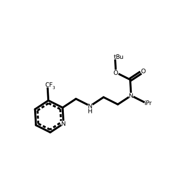 CC(C)N(CCNCc1ncccc1C(F)(F)F)C(=O)OC(C)(C)C